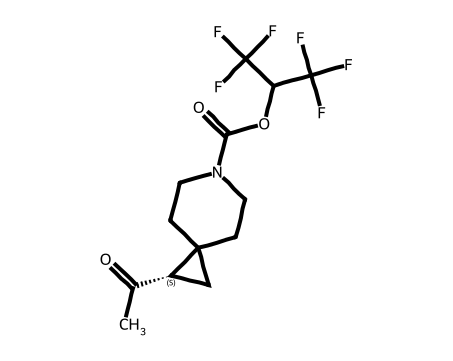 CC(=O)[C@H]1CC12CCN(C(=O)OC(C(F)(F)F)C(F)(F)F)CC2